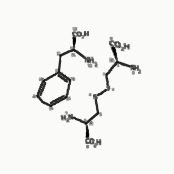 N[C@@H](CSSC[C@H](N)C(=O)O)C(=O)O.N[C@@H](Cc1ccccc1)C(=O)O